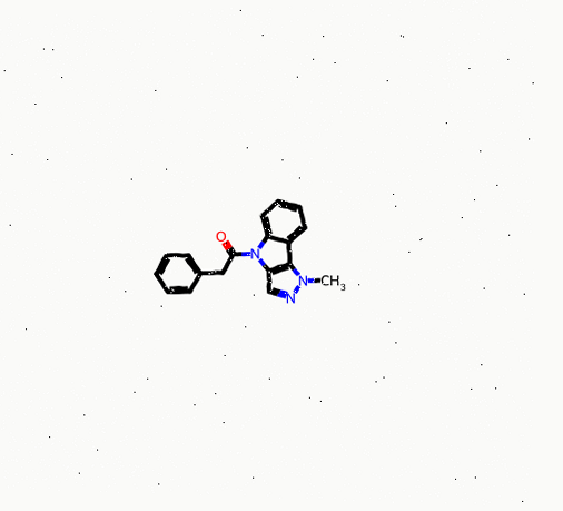 Cn1ncc2c1c1ccccc1n2C(=O)Cc1ccccc1